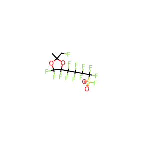 CC1(CF)OC(F)(F)C(F)(C(F)(F)C(F)(F)C(F)(F)C(F)(F)S(=O)(=O)F)O1